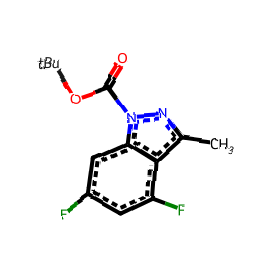 Cc1nn(C(=O)OC(C)(C)C)c2cc(F)cc(F)c12